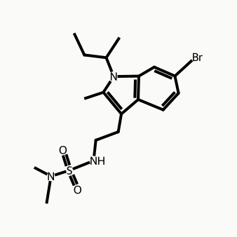 CCC(C)n1c(C)c(CCNS(=O)(=O)N(C)C)c2ccc(Br)cc21